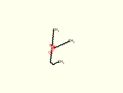 CCCCC/C=C\C/C=C\CCCCCCCC(=O)OC[C@H](COC(=O)CCCCCCCCCCCCC)OC(=O)CCCCCCCCCCCCCC